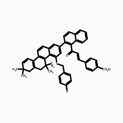 CC1(C)C=CC2=C(C1)CC(C)(C)c1c2ccc2cc(-c3ccc4ccccc4c3C(=O)C=Cc3ccc(C(=O)O)cc3)cc(SCc3ccc(F)cc3)c12